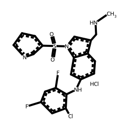 CNCc1cn(S(=O)(=O)c2cccnc2)c2cc(Nc3c(F)cc(F)cc3Cl)ccc12.Cl